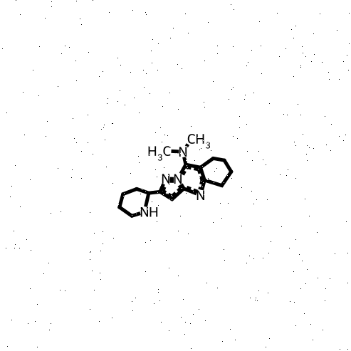 CN(C)c1c2c(nc3cc(C4CCCCN4)nn13)CCCC2